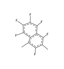 Cc1c(F)c(C)c2c(F)c(F)c(F)c(F)c2c1F